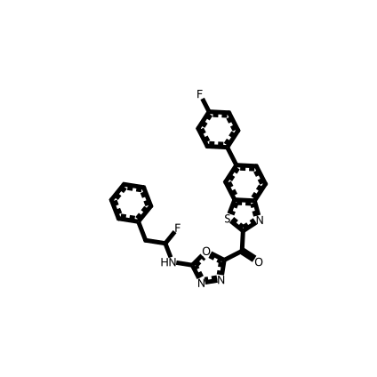 O=C(c1nnc(NC(F)Cc2ccccc2)o1)c1nc2ccc(-c3ccc(F)cc3)cc2s1